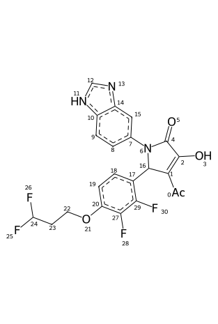 CC(=O)C1=C(O)C(=O)N(c2ccc3[nH]cnc3c2)C1c1ccc(OCCC(F)F)c(F)c1F